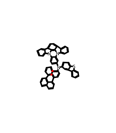 c1ccc(-c2cccc3cccc(-c4ccc(N(c5ccc6sc7ccccc7c6c5)c5ccc6c(c5)n5c7ccccc7c7ccc8c9ccccc9n6c8c75)cc4)c23)cc1